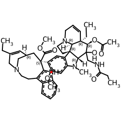 CCC(=O)NCC1(O)[C@H](OC(C)=O)[C@]2(CC)C=CCN3CC[C@@]4(c5cc([C@@]6(C(=O)OC)C[C@@H]7C=C(CC)CN(CCc8c6[nH]c6ccccc86)C7)c(OC)cc5N(C)[C@@H]14)[C@@H]32